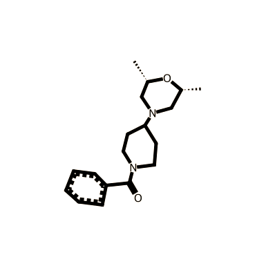 C[C@@H]1CN(C2CCN(C(=O)c3ccccc3)CC2)C[C@H](C)O1